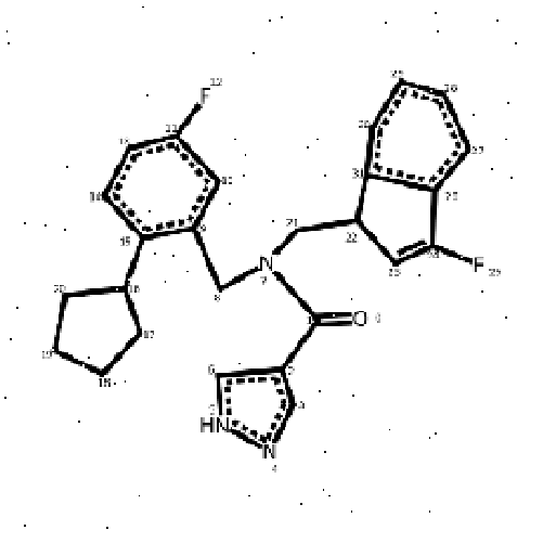 O=C(c1cn[nH]c1)N(Cc1cc(F)ccc1C1CCCC1)CC1C=C(F)c2ccccc21